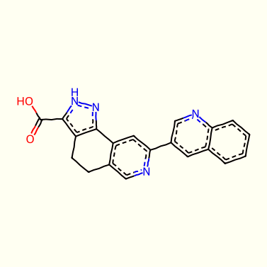 O=C(O)c1[nH]nc2c1CCc1cnc(-c3cnc4ccccc4c3)cc1-2